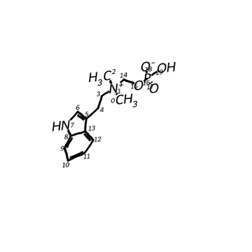 C[N+](C)(CCc1c[nH]c2ccccc12)COP(=O)([O-])O